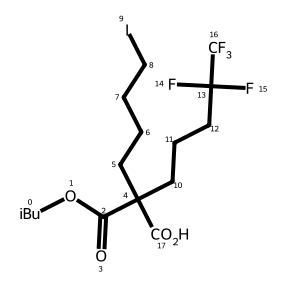 CCC(C)OC(=O)C(CCCCI)(CCCC(F)(F)C(F)(F)F)C(=O)O